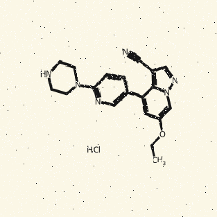 CCOc1cc(-c2ccc(N3CCNCC3)nc2)c2c(C#N)cnn2c1.Cl